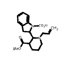 C=CCN1CCCC(C(=O)OC)C1C1Cc2ccccc2N1C(=O)O